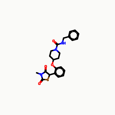 CN1C(=O)SC(c2ccccc2OC2CCN(C(=O)NCc3ccccc3)CC2)C1=O